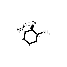 NC1CCCCC1=O.O=[N+]([O-])O